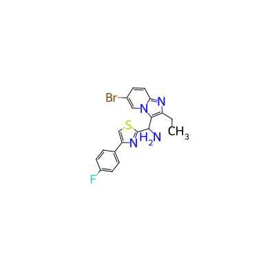 CCc1nc2ccc(Br)cn2c1C(N)c1nc(-c2ccc(F)cc2)cs1